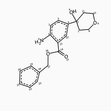 Nc1ccc(C2(O)CCOCC2)cc1C(=O)OCc1ccccc1